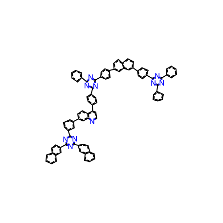 c1ccc(-c2nc(-c3ccccc3)nc(-c3ccc(-c4ccc5ccc(-c6ccc(-c7nc(-c8ccccc8)nc(-c8ccc(-c9ccnc%10cc(-c%11cccc(-c%12nc(-c%13ccc%14ccccc%14c%13)nc(-c%13ccc%14ccccc%14c%13)n%12)c%11)ccc9%10)cc8)n7)cc6)cc5c4)cc3)n2)cc1